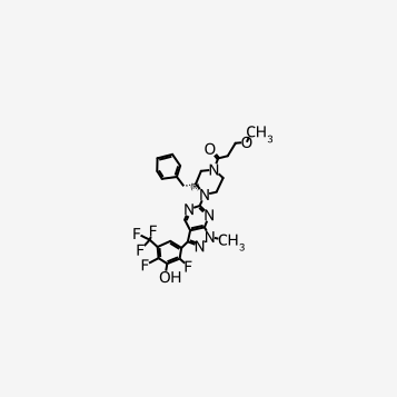 COCCC(=O)N1CCN(c2ncc3c(-c4cc(C(F)(F)F)c(F)c(O)c4F)nn(C)c3n2)[C@H](Cc2ccccc2)C1